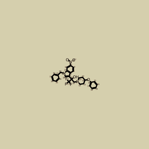 O=[N+]([O-])c1ccc2c(C(O)(CN3CCC(Oc4ccccc4)CC3)C(F)(F)F)cn(Cc3ccccc3)c2c1